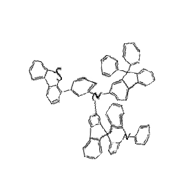 c1ccc(N2c3ccccc3C3(c4ccccc4-c4ccc(N(c5cccc(-c6cccc7c6sc6ccccc67)c5)c5ccc6c(c5)C(c5ccccc5)(c5ccccc5)c5ccccc5-6)cc43)c3ccccc32)cc1